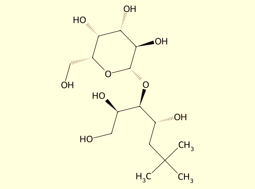 CC(C)(C)C[C@@H](O)[C@H](O[C@@H]1O[C@H](CO)[C@H](O)[C@H](O)[C@H]1O)[C@H](O)CO